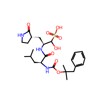 CC(C)C[C@H](NC(=O)OC(C)(C)Cc1ccccc1)C(=O)N[C@@H](C[C@@H]1CCNC1=O)C(O)S(=O)(=O)O